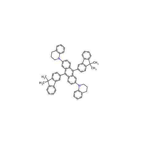 CC1(C)c2ccccc2-c2cc(-c3c4ccc(N5CCCc6ccccc65)cc4c(-c4ccc5c(c4)-c4ccccc4C5(C)C)c4ccc(N5CCCc6ccccc65)cc34)ccc21